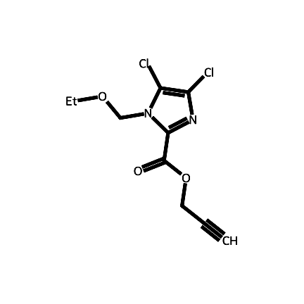 C#CCOC(=O)c1nc(Cl)c(Cl)n1COCC